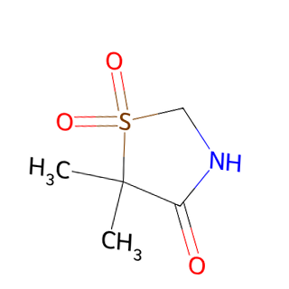 CC1(C)C(=O)NCS1(=O)=O